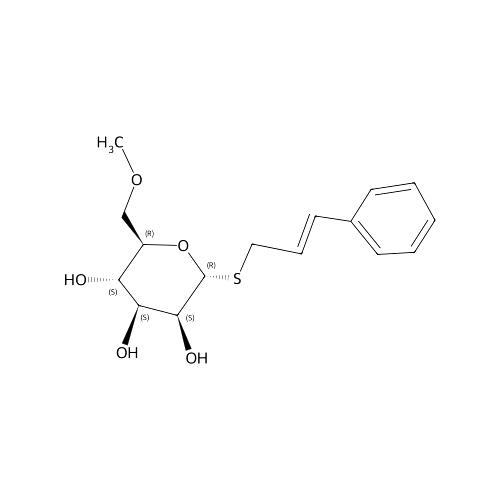 COC[C@H]1O[C@H](SCC=Cc2ccccc2)[C@@H](O)[C@@H](O)[C@@H]1O